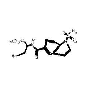 CCOC(=O)C(CC(C)C)NC(=O)c1ccc2c(ccn2S(C)(=O)=O)c1